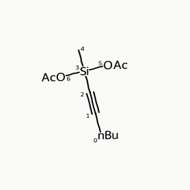 CCCCC#C[Si](C)(OC(C)=O)OC(C)=O